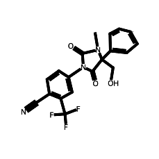 CN1C(=O)N(c2ccc(C#N)c(C(F)(F)F)c2)C(=O)C1(CO)c1cc[c]cc1